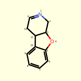 C1=NCC2Oc3ccccc3C2C1